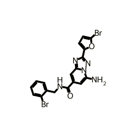 Nc1cc(C(=O)NCc2ccccc2Br)cc2nc(-c3ccc(Br)o3)nn12